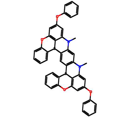 CN1c2cc3c(cc2B2c4ccccc4Oc4cc(Oc5ccccc5)cc1c42)B1c2ccccc2Oc2cc(Oc4ccccc4)cc(c21)N3C